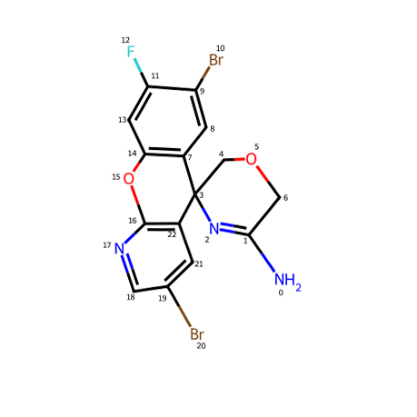 NC1=NC2(COC1)c1cc(Br)c(F)cc1Oc1ncc(Br)cc12